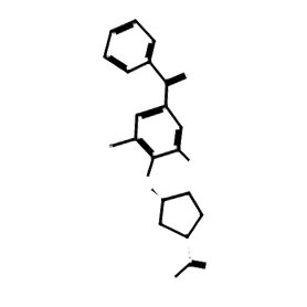 O=C(c1ccccc1)c1cc(Cl)c(O[C@H]2CC[C@H](C(=O)O)C2)c(Cl)c1